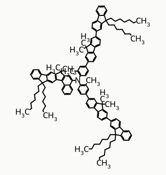 CCCCCCCC1(CCCCCCC)c2ccccc2-c2ccc(-c3ccc4c(c3)C(C)(C)c3cc(-c5ccc(N(c6ccc(-c7ccc8c(c7)C(C)(C)c7cc(-c9ccc%10c(c9)C(CCCCCCC)(CCCCCCC)c9ccccc9-%10)ccc7-8)cc6C)c6cc7c(c8ccccc68)-c6cc8c(cc6C7(C)C)-c6ccccc6C8(CCCCCCC)CCCCCCC)c(C)c5)ccc3-4)cc21